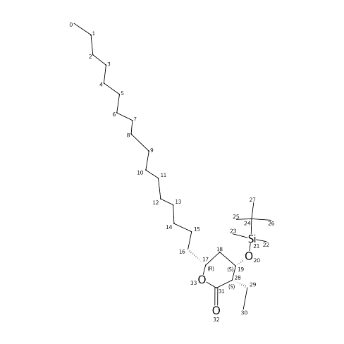 CCCCCCCCCCCCCCCCC[C@@H]1C[C@H](O[Si](C)(C)C(C)(C)C)[C@H](CC)C(=O)O1